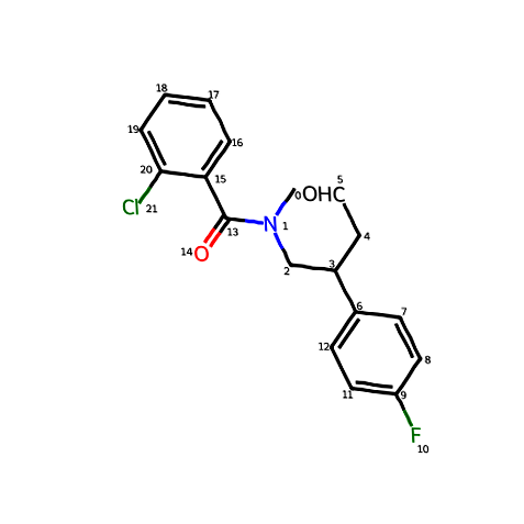 CN(CC(CC=O)c1ccc(F)cc1)C(=O)c1ccccc1Cl